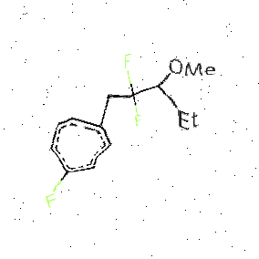 [CH2]CC(OC)C(F)(F)Cc1ccc(F)cc1